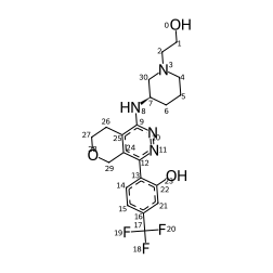 OCCN1CCC[C@@H](Nc2nnc(-c3ccc(C(F)(F)F)cc3O)c3c2CCOC3)C1